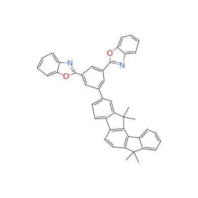 CC1(C)c2ccccc2-c2c1ccc1c2C(C)(C)c2cc(-c3cc(-c4nc5ccccc5o4)cc(-c4nc5ccccc5o4)c3)ccc2-1